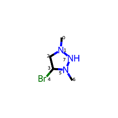 CN1CC(Br)N(C)N1